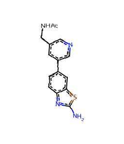 CC(=O)NCc1cncc(-c2ccc3nc(N)sc3c2)c1